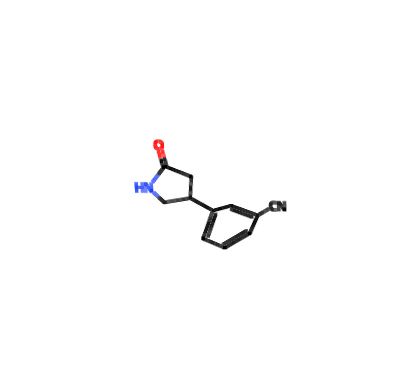 N#Cc1cccc(C2CNC(=O)C2)c1